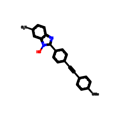 COc1ccc(C#Cc2ccc(-c3nc4ccc([N+](=O)[O-])cc4n3O)cc2)cc1